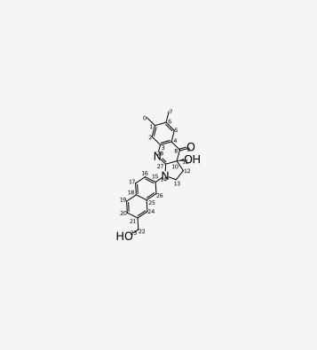 Cc1cc2c(cc1C)C(=O)[C@]1(O)CCN(c3ccc4ccc(CO)cc4c3)C1=N2